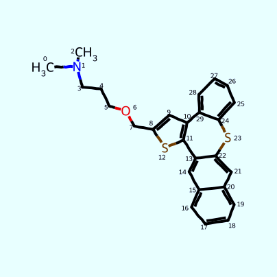 CN(C)CCCOCc1cc2c(s1)-c1cc3ccccc3cc1Sc1ccccc1-2